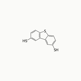 Sc1ccc2sc3ccc(S)cc3c2c1